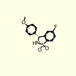 COc1ccc([C@H]2NS(=O)(=O)c3ccc(F)cc32)cc1